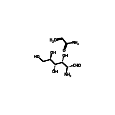 C=CC(N)=O.N[C@@H](C=O)[C@@H](O)[C@H](O)[C@H](O)CO